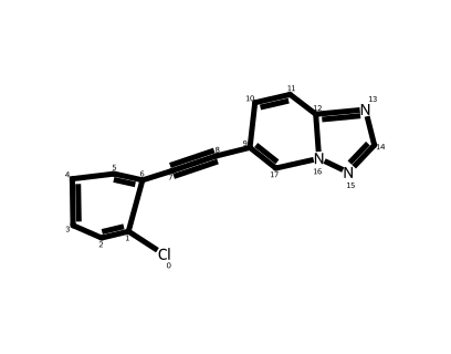 Clc1ccccc1C#Cc1ccc2ncnn2c1